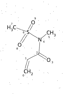 C=CC(=O)N(C)S(C)(=O)=O